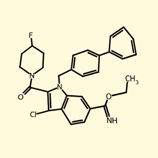 CCOC(=N)c1ccc2c(Cl)c(C(=O)N3CCC(F)CC3)n(Cc3ccc(-c4ccccc4)cc3)c2c1